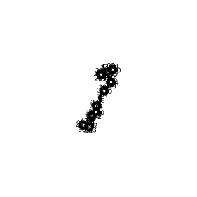 CC1(C)c2cc(/C=C/c3ccc(-c4cccc(N5c6ccccc6Sc6ccccc65)c4)cc3)ccc2-c2ccc(N3CCCC4=C3CCC=C4)cc21